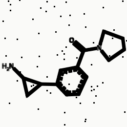 NC1CC1c1cccc(C(=O)N2CCCC2)c1